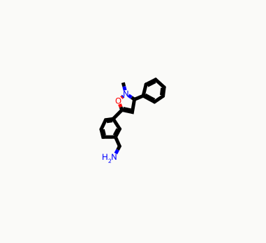 CN1OC(c2cccc(CN)c2)=CC1c1ccccc1